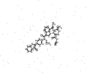 CCC(C(=O)n1ccc2c(N(C)[C@H]3CN(C(=O)CC#N)CC[C@H]3C)ncnc21)c1ccc(N2Cc3ccccc3C2=O)cc1